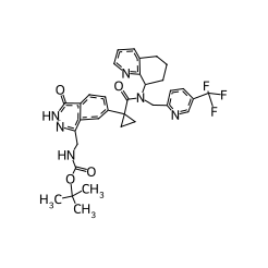 CC(C)(C)OC(=O)NCc1n[nH]c(=O)c2ccc(C3(C(=O)N(Cc4ccc(C(F)(F)F)cn4)C4CCCc5cccnc54)CC3)cc12